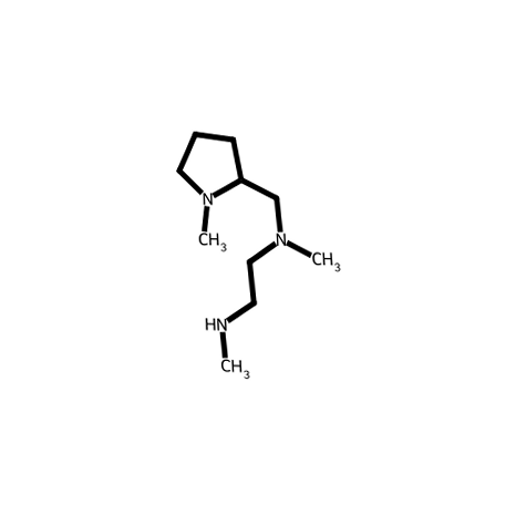 CNCCN(C)CC1CCCN1C